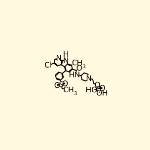 CCS(=O)(=O)c1cccc(-c2cc(C(=O)NC3CCN(CCOP(=O)(O)O)CC3)c(C)c3[nH]c4ncc(Cl)cc4c23)c1